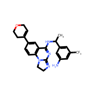 CC(NC1=NC2=NCCN2c2ccc(C3=CCOCC3)cc21)c1cc(N)cc(C(F)(F)F)c1